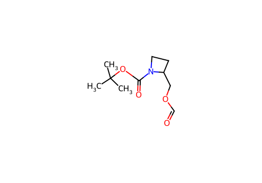 CC(C)(C)OC(=O)N1CCC1COC=O